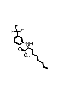 C=CCCCCCC(Nc1cccc(C(F)(F)F)c1)C(=O)O